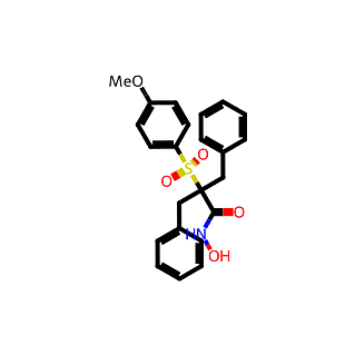 COc1ccc(S(=O)(=O)C(Cc2ccccc2)(Cc2ccccc2)C(=O)NO)cc1